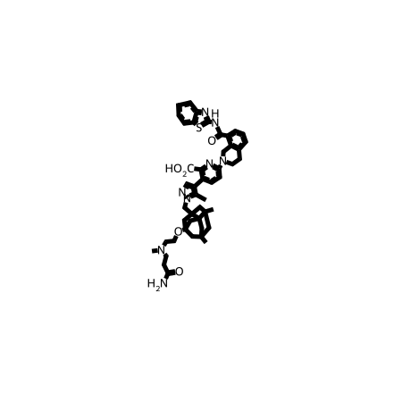 Cc1c(-c2ccc(N3CCc4cccc(C(=O)Nc5nc6ccccc6s5)c4C3)nc2C(=O)O)cnn1CC12CC3(OCCN(C)CCC(N)=O)CC4(C)CC(C)(C1)C2(C4)C3